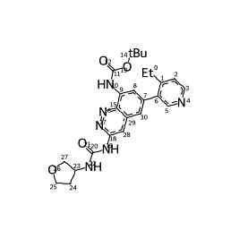 CCc1ccncc1-c1cc(NC(=O)OC(C)(C)C)c2nnc(NC(=O)NC3CCOC3)cc2c1